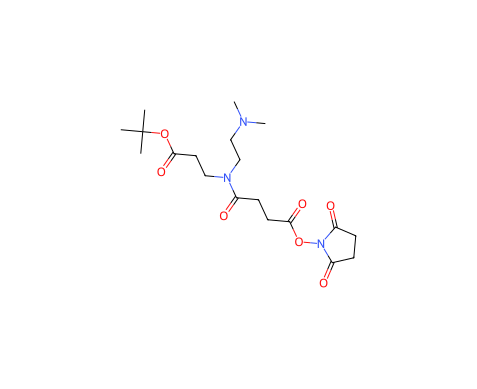 CN(C)CCN(CCC(=O)OC(C)(C)C)C(=O)CCC(=O)ON1C(=O)CCC1=O